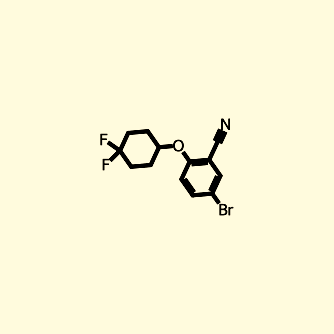 N#Cc1cc(Br)ccc1OC1CCC(F)(F)CC1